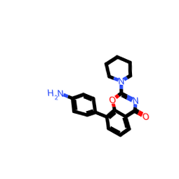 Nc1ccc(-c2cccc3c(=O)nc(N4CCCCC4)oc23)cc1